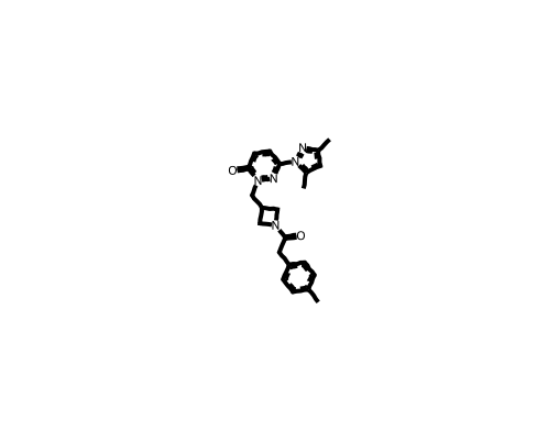 Cc1ccc(CC(=O)N2CC(Cn3nc(-n4nc(C)cc4C)ccc3=O)C2)cc1